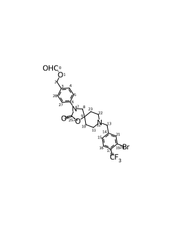 O=COCc1ccc(N2CC3(CCN(Cc4ccc(C(F)(F)F)c(Br)c4)CC3)OC2=O)cc1